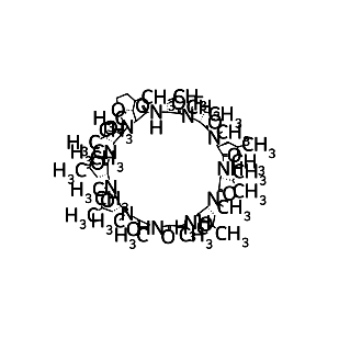 CC[C@H]1NC(=O)[C@@H]([C@@H]2OCC[C@H]2C)N(C)C(=O)[C@@H](C(C)C)N(C)C(=O)[C@@H](CC(C)C)N(C)C(=O)[C@@H](CC(C)C)N(C)C(=O)[C@H](C)NC(=O)[C@@H](C)NC(=O)[C@@H](CC(C)C)N(C)C(=O)[C@@H](C(C)C)NC(=O)[C@H](CC(C)C)N(C)C(=O)[C@@H](C(C)F)N(C)C1=O